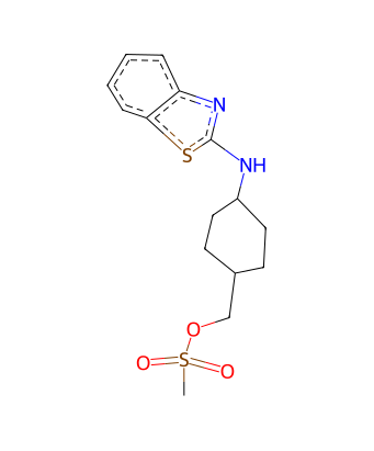 CS(=O)(=O)OCC1CCC(Nc2nc3ccccc3s2)CC1